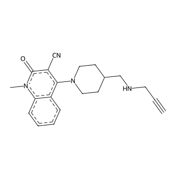 C#CCNCC1CCN(c2c(C#N)c(=O)n(C)c3ccccc23)CC1